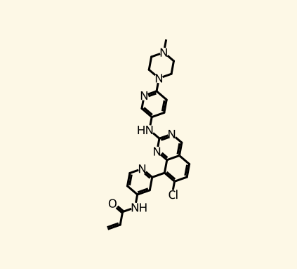 C=CC(=O)Nc1ccnc(-c2c(Cl)ccc3cnc(Nc4ccc(N5CCN(C)CC5)nc4)nc23)c1